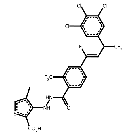 Cc1csc(C(=O)O)c1NNC(=O)c1ccc(C(F)=CC(c2cc(Cl)c(Cl)c(Cl)c2)C(F)(F)F)cc1C(F)(F)F